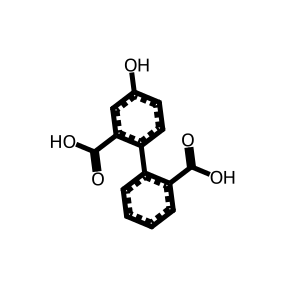 O=C(O)c1ccccc1-c1ccc(O)cc1C(=O)O